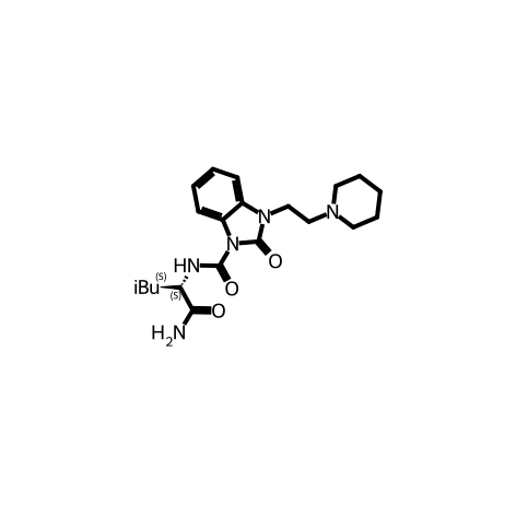 CC[C@H](C)[C@H](NC(=O)n1c(=O)n(CCN2CCCCC2)c2ccccc21)C(N)=O